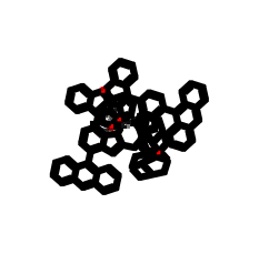 [CH3][Zr]([CH3])(=[SiH2])([CH]1C(CC23CC4CC(CC(C4)C2)C3)=Cc2c(-c3c4ccccc4cc4ccccc34)ccc(-c3c4ccccc4cc4ccccc34)c21)[CH]1C(CC23CC4CC(CC(C4)C2)C3)=Cc2c(-c3c4ccccc4cc4ccccc34)ccc(-c3c4ccccc4cc4ccccc34)c21